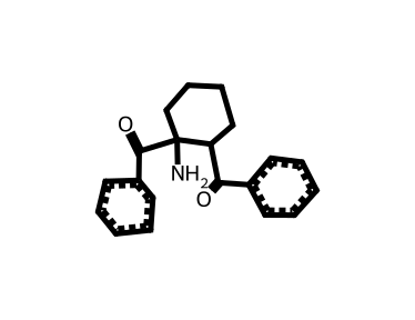 NC1(C(=O)c2ccccc2)CCCCC1C(=O)c1ccccc1